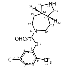 O=CC(Oc1cc(Cl)ccc1C(F)(F)F)N1CC[C@@H]2CNC[C@@H]2CC1